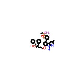 CC[SH](=O)(P)c1cccc(-c2ccc(O[C@H](C)CCC(C)(C)[Si](O)(c3ccccc3)c3ccccc3)c3[nH]c4ncc(C)cc4c23)c1